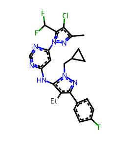 CCc1c(-c2ccc(F)cc2)nn(CC2CC2)c1Nc1cc(-n2nc(C)c(Cl)c2C(F)F)ncn1